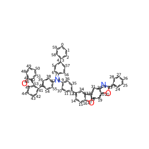 c1ccc(-c2ccc(N(c3ccc(-c4ccc5oc6cc7oc(-c8ccccc8)nc7cc6c5c4)cc3)c3ccc(-c4cccc5oc6ccccc6c45)cc3)cc2)cc1